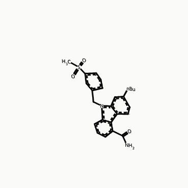 CCCCc1c[c]c2c3c(C(N)=O)cccc3n(Cc3cccc(S(C)(=O)=O)c3)c2c1